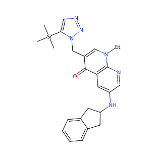 CCn1cc(Cn2nncc2[Si](C)(C)C)c(=O)c2cc(NC3Cc4ccccc4C3)cnc21